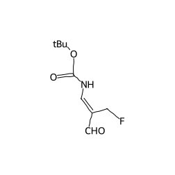 CC(C)(C)OC(=O)NC=C(C=O)CF